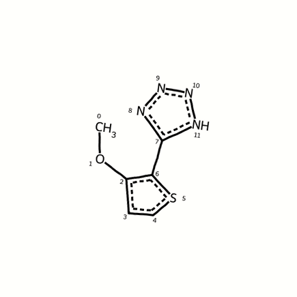 COc1ccsc1-c1nnn[nH]1